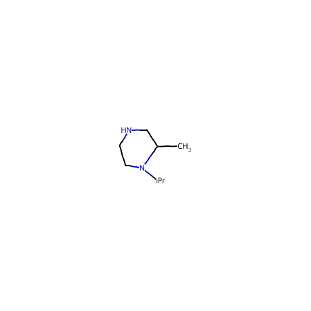 CC(C)N1CCNCC1C